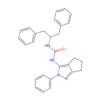 O=C(Nc1c2c(nn1-c1ccccc1)CCC2)NC(Cc1ccccc1)Cc1ccccc1